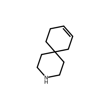 C1=CCC2(CC1)CCNCC2